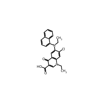 CCN(c1cc2c(=O)c(C(=O)O)cn(CC)c2cc1Cl)c1cccc2ccccc12